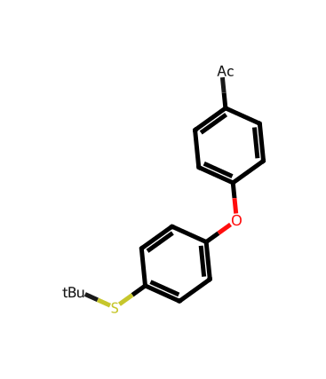 CC(=O)c1ccc(Oc2ccc(SC(C)(C)C)cc2)cc1